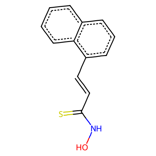 ONC(=S)C=Cc1cccc2ccccc12